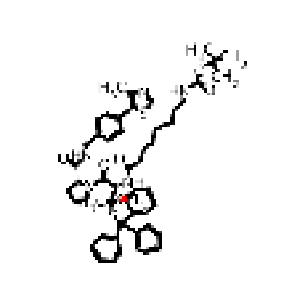 Cc1ncsc1-c1ccc(CNC(=O)[C@@H]2CCCN2C(=O)[C@@H](NC(=O)CCCCCCCNC(=O)OC(C)(C)C)C(C)(C)SC(c2ccccc2)(c2ccccc2)c2ccccc2)cc1